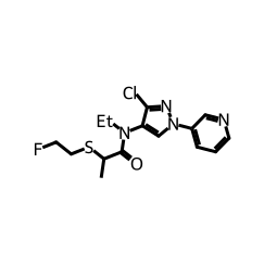 CCN(C(=O)C(C)SCCF)c1cn(-c2cccnc2)nc1Cl